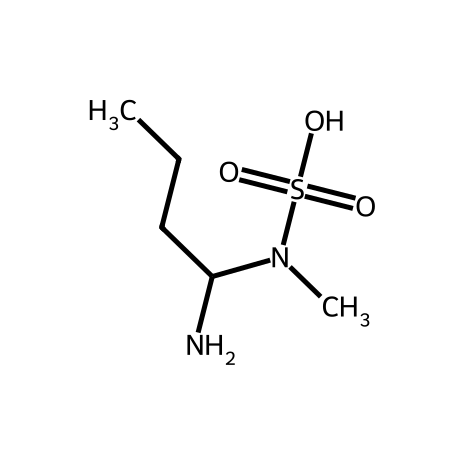 CCCC(N)N(C)S(=O)(=O)O